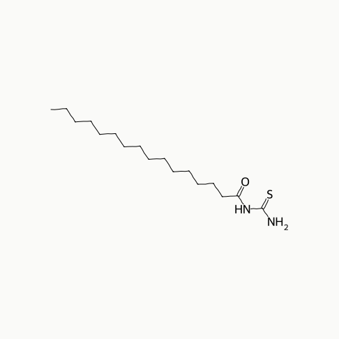 CCCCCCCCCCCCCCCC(=O)NC(N)=S